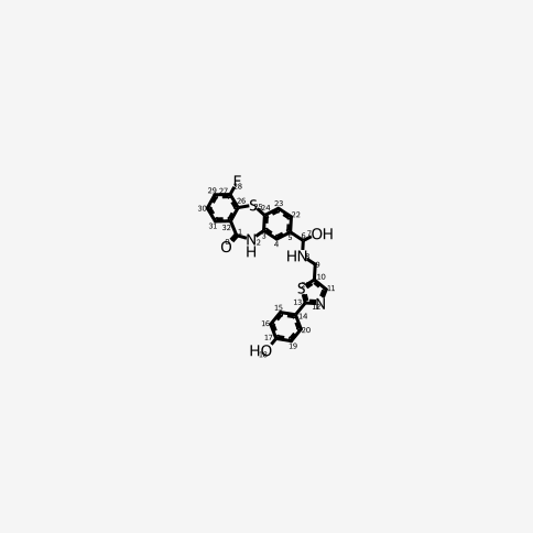 O=C1Nc2cc(C(O)NCc3cnc(-c4ccc(O)cc4)s3)ccc2Sc2c(F)cccc21